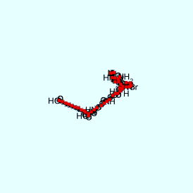 Cc1ccc(Br)nc1NC(=O)[C@@H]1C[C@H](CNC(=O)COCCOCCNC(=O)COCCOCCNC(=O)CC[C@H](NC(=O)CCCCCCCCCCCCCCCCC(=O)O)C(=O)O)[C@@H](C)N1C(=O)Cn1nc(C(N)=O)c2cc(Nc3cccnc3)ccc21